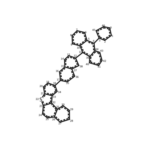 c1ccc(-c2c3ccccc3c(-c3ccc4cc(-c5ccc6sc7ccc8ccccc8c7c6c5)ccc4c3)c3ccccc23)cc1